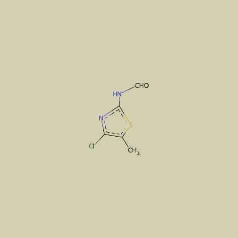 Cc1sc(NC=O)nc1Cl